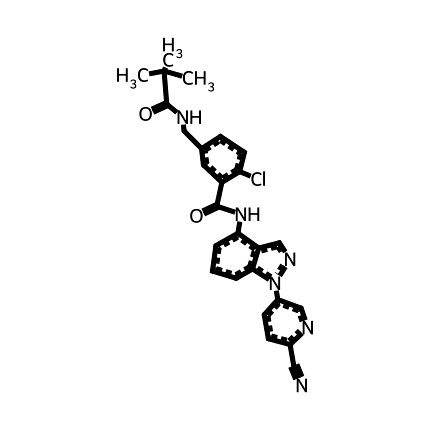 CC(C)(C)C(=O)NCc1ccc(Cl)c(C(=O)Nc2cccc3c2cnn3-c2ccc(C#N)nc2)c1